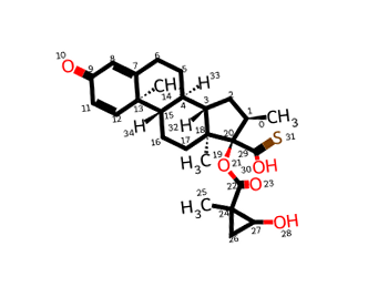 C[C@@H]1C[C@H]2[C@@H]3CCC4=CC(=O)C=C[C@]4(C)[C@H]3CC[C@]2(C)[C@@]1(OC(=O)C1(C)CC1O)C(O)=S